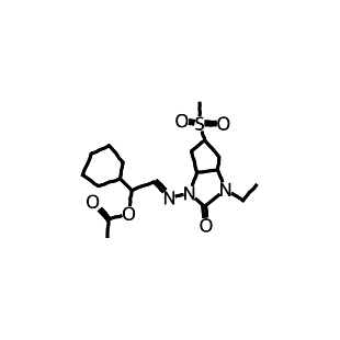 CCN1C(=O)N(N=CC(OC(C)=O)C2CCCCC2)C2CC(S(C)(=O)=O)CC21